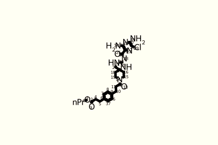 CCCOC(=O)CCc1ccc(CCC(=O)N2CCC3(CC2)CN/C(=N\C(=O)c2nc(Cl)c(N)nc2N)N3)cc1